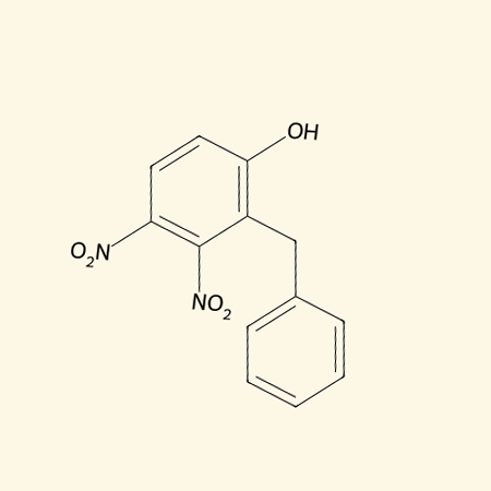 O=[N+]([O-])c1ccc(O)c(Cc2ccccc2)c1[N+](=O)[O-]